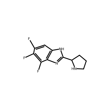 Fc1cc2[nH]c(C3CCCN3)nc2c(F)c1F